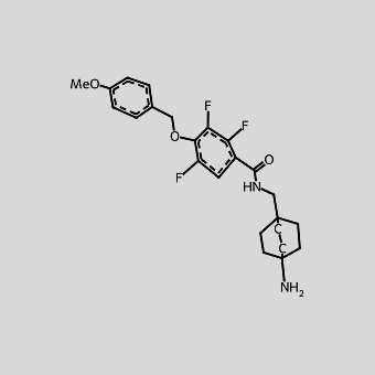 COc1ccc(COc2c(F)cc(C(=O)NCC34CCC(N)(CC3)CC4)c(F)c2F)cc1